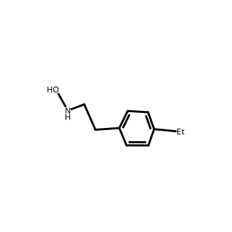 CCc1ccc(CCNO)cc1